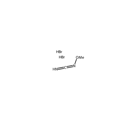 Br.Br.CON=C=N